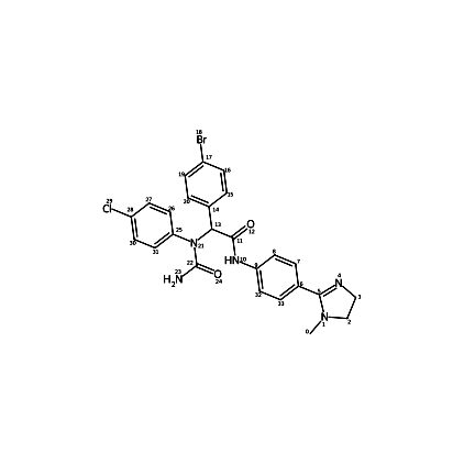 CN1CCN=C1c1ccc(NC(=O)C(c2ccc(Br)cc2)N(C(N)=O)c2ccc(Cl)cc2)cc1